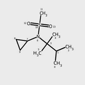 CC(C)C(C)(C)N(C1CC1)S(C)(=O)=O